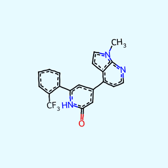 Cn1ccc2c(-c3cc(-c4ccccc4C(F)(F)F)[nH]c(=O)c3)ccnc21